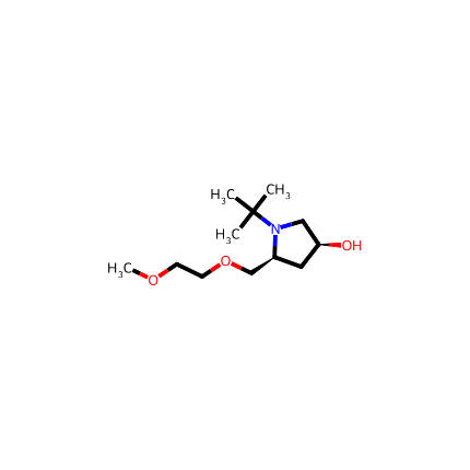 COCCOC[C@@H]1C[C@H](O)CN1C(C)(C)C